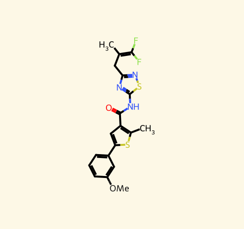 COc1cccc(-c2cc(C(=O)Nc3nc(CC(C)=C(F)F)ns3)c(C)s2)c1